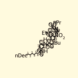 CCCCCCCCCCCCCCCCS(=O)(=O)Nc1ccc(Cl)c(NC(=O)C(Oc2ccc([N+](=O)[O-])cc2CN(CC)C(=O)Sc2nnnn2CC(=O)OCCC)C(=O)C(C)(C)C)c1